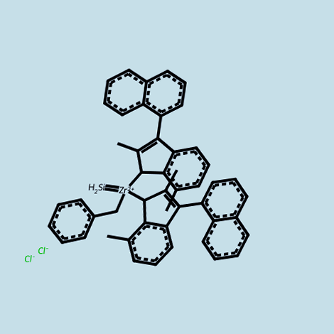 CC1=C(c2cccc3ccccc23)c2cccc(C)c2[CH]1[Zr+2](=[SiH2])([CH2]c1ccccc1)[CH]1C(C)=C(c2cccc3ccccc23)c2cccc(C)c21.[Cl-].[Cl-]